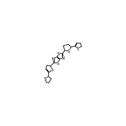 C1=C(C2CCCS2)SC(c2nc3sc(C4CCC(C5=CCCS5)S4)nc3s2)C1